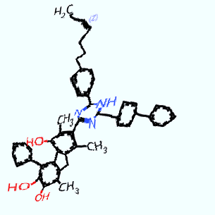 C=C/C=C\CCCc1ccc(C2=NC(c3c(C)c(O)c4c(c3C)Cc3c(C)c(O)c(O)c(-c5ccccc5)c3-4)=NC(c3ccc(-c4ccccc4)cc3)N2)cc1